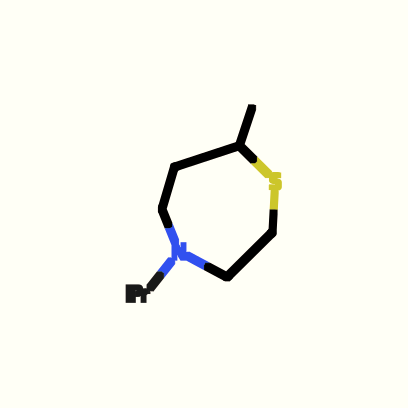 CC1CCN(C(C)C)CCS1